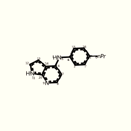 CCCc1ccc(Nc2ccnc3[nH]ccc23)cc1